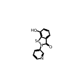 O=c1c2cccc(O)c2[se]n1-c1cccnc1